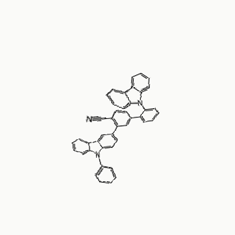 N#Cc1ccc(-c2ccccc2-n2c3ccccc3c3ccccc32)cc1-c1ccc2c(c1)c1ccccc1n2-c1ccccc1